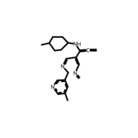 C=C=C(NC1CCC(C)CC1)C(/C=N\Cc1cncc(C)c1)=C/N=C